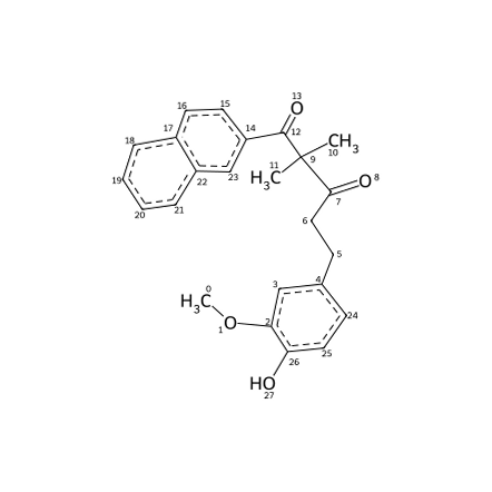 COc1cc(CCC(=O)C(C)(C)C(=O)c2ccc3ccccc3c2)ccc1O